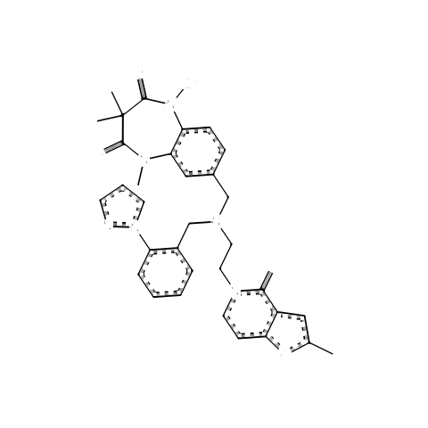 CCN1C(=O)C(C)(C)C(=O)N(C)c2cc(CN(CCn3ccc4oc(C)cc4c3=O)Cc3ccccc3-n3cccn3)ccc21